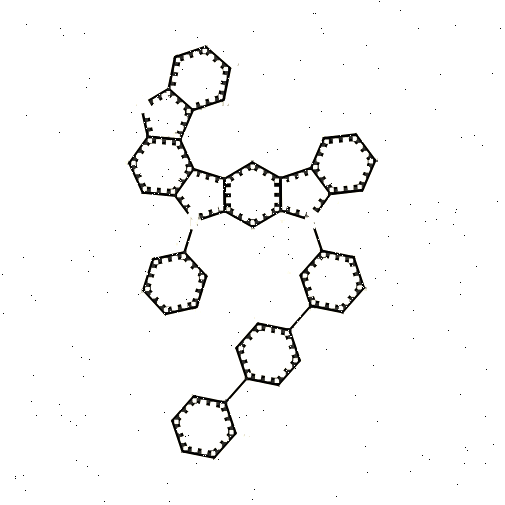 c1ccc(-c2ccc(-c3cccc(-n4c5ccccc5c5cc6c7c8c(ccc7n(-c7ccccc7)c6cc54)oc4ccccc48)c3)cc2)cc1